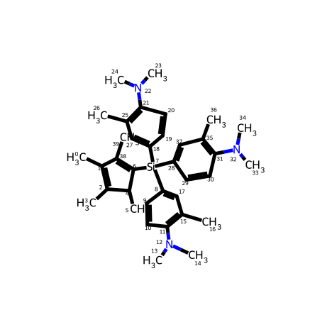 CC1=C(C)C(C)C([Si](c2ccc(N(C)C)c(C)c2)(c2ccc(N(C)C)c(C)c2)c2ccc(N(C)C)c(C)c2)=C1C